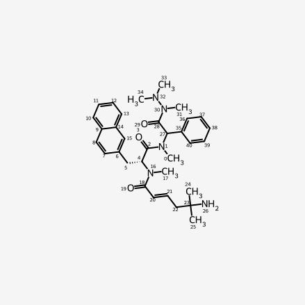 CN(C(=O)[C@@H](Cc1ccc2ccccc2c1)N(C)C(=O)/C=C/CC(C)(C)N)C(C(=O)N(C)N(C)C)c1ccccc1